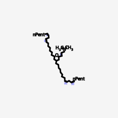 CCCCC/C=C\C/C=C\CCCCCCCCC(CCCCCCCC/C=C\C/C=C\CCCCC)CC(=O)/C=C/CN(C)C